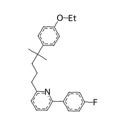 CCOc1ccc(C(C)(C)CCCc2cccc(-c3ccc(F)cc3)n2)cc1